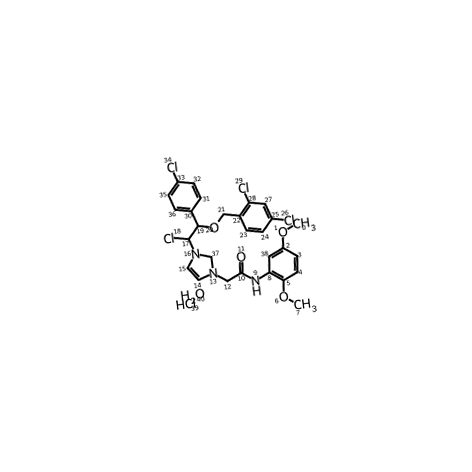 COc1ccc(OC)c(NC(=O)CN2C=CN(C(Cl)C(OCc3ccc(Cl)cc3Cl)c3ccc(Cl)cc3)C2)c1.Cl.O